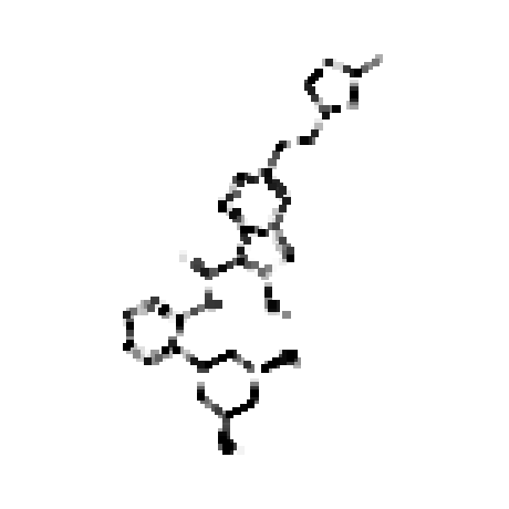 Nc1oc2cc(CCN3CCC(F)C3)cnc2c1C(=O)Nc1cnccc1N1C[C@H](N)C[C@H](C(F)(F)F)C1